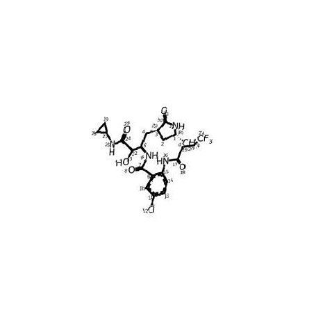 C[C@@H]1C[C@@H](CC(NC(=O)c2cc(Cl)ccc2NC(=O)CCC(F)(F)F)C(O)C(=O)NC2CC2)C(=O)N1